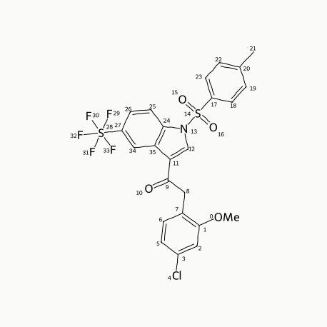 COc1cc(Cl)ccc1CC(=O)c1cn(S(=O)(=O)c2ccc(C)cc2)c2ccc(S(F)(F)(F)(F)F)cc12